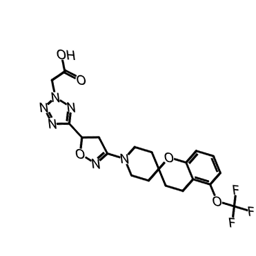 O=C(O)Cn1nnc(C2CC(N3CCC4(CCc5c(OC(F)(F)F)cccc5O4)CC3)=NO2)n1